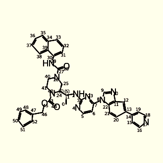 C[C@H](Nc1nccc(-n2cnc3cc(-c4ccncc4)ccc32)n1)[C@@H]1CN(C(=O)Nc2cccc3ccccc23)CCN1C(=O)OCc1ccccc1